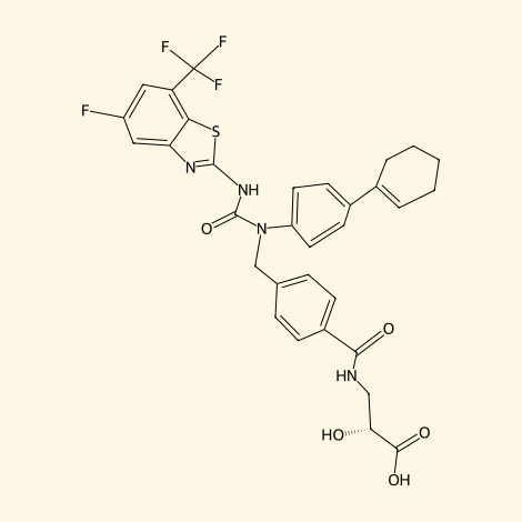 O=C(NC[C@@H](O)C(=O)O)c1ccc(CN(C(=O)Nc2nc3cc(F)cc(C(F)(F)F)c3s2)c2ccc(C3=CCCCC3)cc2)cc1